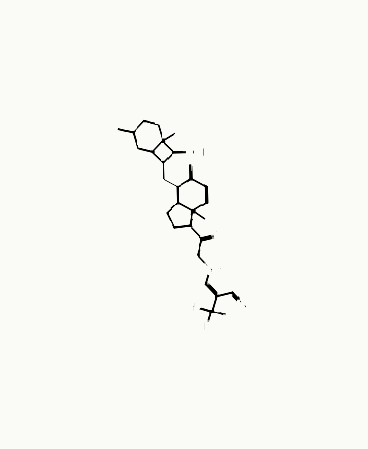 CC1CCC2(C)C(O)C(CC3C(C)CCC4(C)C(C(=O)CN/C=C(\C=N)C(F)(F)F)CCC34)C2C1